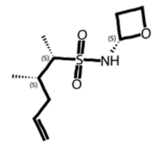 C=CC[C@H](C)[C@H](C)S(=O)(=O)N[C@@H]1CCO1